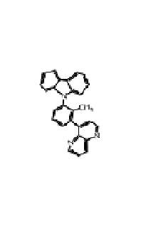 Cc1c(-c2ccnc3cccnc23)cccc1-n1c2ccccc2c2ccccc21